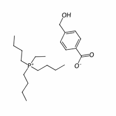 CCCC[P+](CC)(CCCC)CCCC.O=C([O-])c1ccc(CO)cc1